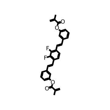 C=C(C)C(=O)Oc1cccc(/C=C/c2ccc(/C=C/c3cccc(OC(=O)C(=C)C)c3)c(F)c2F)c1